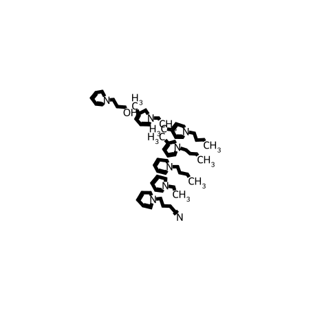 CCCCN1C=CC(C)=CC1.CCCCN1C=CC=C(C)C1.CCCCN1C=CC=CC1.CCN1C=CC=C(C)C1.CCN1C=CC=CC1.N#CCCCN1C=CC=CC1.OCCCN1C=CC=CC1